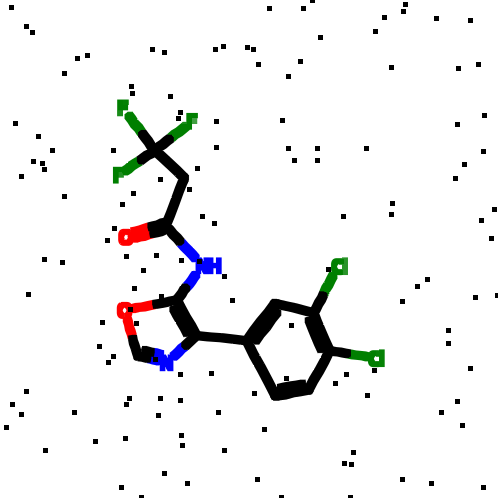 O=C(CC(F)(F)F)Nc1ocnc1-c1ccc(Cl)c(Cl)c1